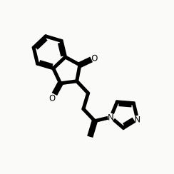 C=C(CCC1C(=O)c2ccccc2C1=O)n1ccnc1